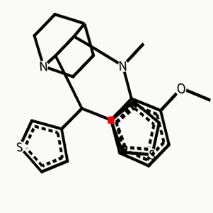 COc1ccccc1N(C)C1C2CCN(CC2)C1C(c1ccsc1)c1ccsc1